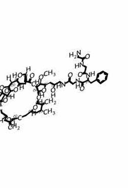 C=C1C[C@@H]2CC[C@@]34C[C@H]5OC6C(O[C@H]7CC[C@H](CC(=O)C[C@@H]8[C@@H](OC)[C@@H](C[C@H](O)CNC(=O)CNC(=O)[C@H](Cc9ccccc9)NC(=O)CNC(=O)CN)O[C@H]8C[C@H]8O[C@@H](CC[C@@H]1O2)C[C@@H](C)C8=C)O[C@@H]7[C@@H]6O3)[C@H]5O4